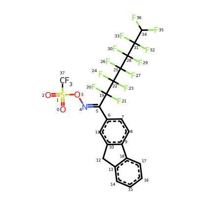 O=S(=O)(ON=C(c1ccc2c(c1)Cc1ccccc1-2)C(F)(F)C(F)(F)C(F)(F)C(F)(F)C(F)(F)C(F)F)C(F)(F)F